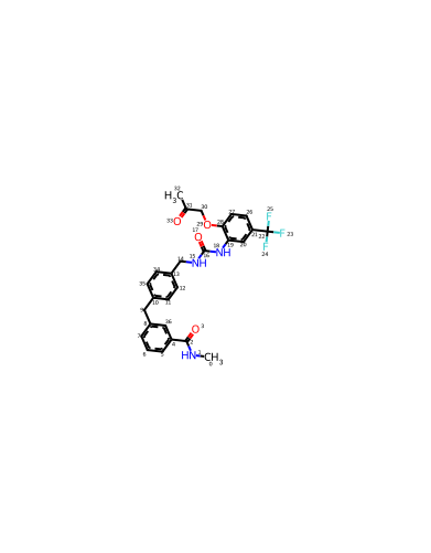 CNC(=O)c1cccc(Cc2ccc(CNC(=O)Nc3cc(C(F)(F)F)ccc3OCC(C)=O)cc2)c1